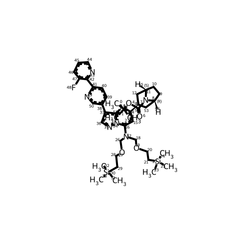 CC(C)(C)OC(=O)N1[C@@H]2CC[C@H]1C[C@H](c1cc(N(COCC[Si](C)(C)C)COCC[Si](C)(C)C)n3ncc(-c4ccc(-c5ncccc5F)nc4)c3n1)C2